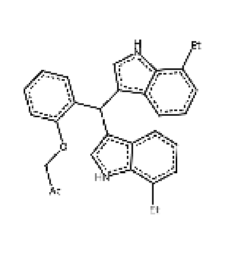 CCc1cccc2c(C(c3ccccc3OCC(C)=O)c3c[nH]c4c(CC)cccc34)c[nH]c12